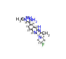 C=C(CN1CCC(F)CC1)Nc1cc2cc(/C(N)=C/N(C)N)ccc2cn1